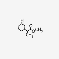 COC(=O)C(C)C1CCCNC1